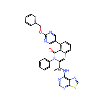 C[C@H](Nc1ncnc2scnc12)c1cc2cccc(-c3cnc(OCc4ccccc4)nc3)c2c(=O)n1-c1ccccc1